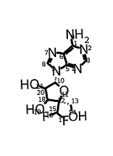 Nc1ncnc2c1ncn2[C@@H]1O[C@@](CO)(C(F)F)C(O)C1O